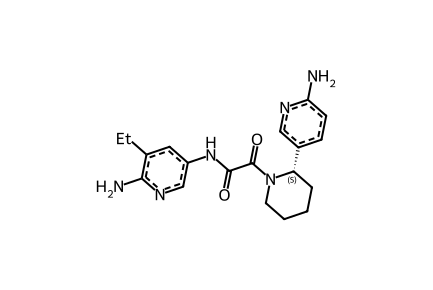 CCc1cc(NC(=O)C(=O)N2CCCC[C@H]2c2ccc(N)nc2)cnc1N